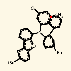 Cc1cc(Cl)cc(N(c2ccc(C(C)(C)C)cc2-c2ccccc2)c2cccc3c2oc2ccc(C(C)(C)C)cc23)c1